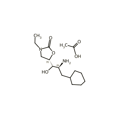 CC(=O)O.CCN1C[C@@H](C(O)[C@@H](N)CC2CCCCC2)OC1=O